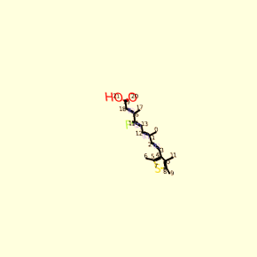 CC(/C=C/c1c(C)sc(C)c1C)=C\C=C(F)\C(C)=C\C(=O)O